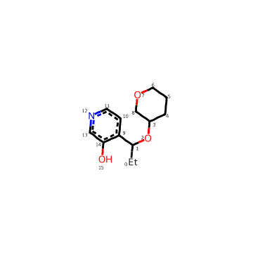 CCC(OC1CCCOC1)c1ccncc1O